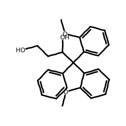 COc1ccccc1C(c1ccccc1)(c1ccccc1OC)C(O)CCO